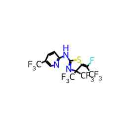 FC(=C1SC(Nc2ccc(C(F)(F)F)cn2)=NC1(C(F)(F)F)C(F)(F)F)C(F)(F)F